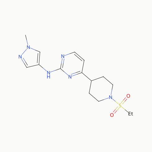 CCS(=O)(=O)N1CCC(c2ccnc(Nc3cnn(C)c3)n2)CC1